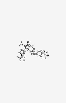 CC1(C)NCCc2cc(Nc3ncc4c(=O)n(C5CC5)n(-c5nc(C6(CF)CC6)cs5)c4n3)ccc21